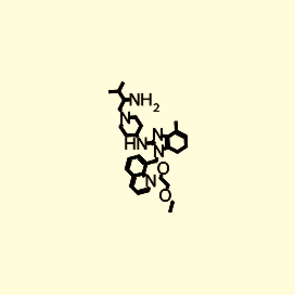 CCOCCOC(c1cccc2cccnc12)n1c(NC2CCN(CC(N)C(C)C)CC2)nc2c1CCC=C2C